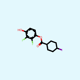 O=C(Oc1ccc(O)c(F)c1F)C1CCC(I)CC1